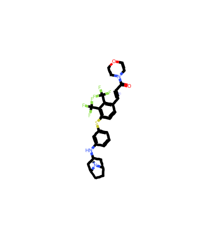 CN1C2CCC1CC(Nc1cccc(Sc3ccc(/C=C/C(=O)N4CCOCC4)c(C(F)(F)F)c3C(F)(F)F)c1)C2